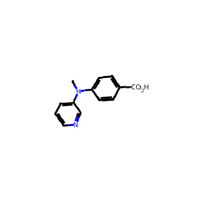 CN(c1ccc(C(=O)O)cc1)c1cccnc1